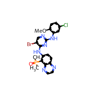 COc1c[c]c(Cl)cc1Nc1ncc(Br)c(Nc2ccc3nccnc3c2P(C)(C)=O)n1